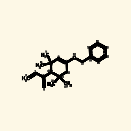 C=CC(=O)N1C(C)(C)C=C(OCc2ccccc2)CC1(C)C